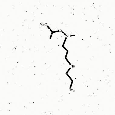 COC(C)O[SiH](C)CCCNCCN